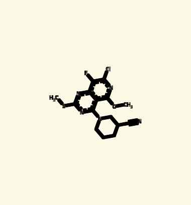 COc1nc(Cl)c(F)c2nc(SC)nc(N3CCCC(C#N)C3)c12